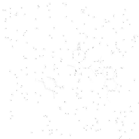 COc1ccc2ncc(N(C)C)c([C@H](O)CCC3([C@@H](O)CC#Cc4cc(F)cc(F)c4F)CCNCC3)c2c1